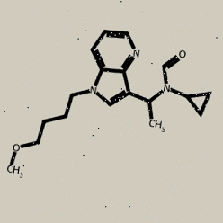 COCCCCn1cc(C(C)N(C=O)C2CC2)c2ncccc21